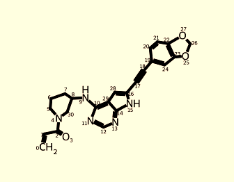 C=CC(=O)N1CCCC(Nc2ncnc3[nH]c(C#Cc4ccc5c(c4)OCO5)cc23)C1